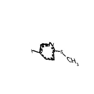 CSc1ccc(I)cn1